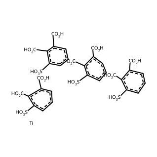 O=C(O)c1cccc(S(=O)(=O)O)c1C(=O)O.O=C(O)c1cccc(S(=O)(=O)O)c1C(=O)O.O=C(O)c1cccc(S(=O)(=O)O)c1C(=O)O.O=C(O)c1cccc(S(=O)(=O)O)c1C(=O)O.[Ti]